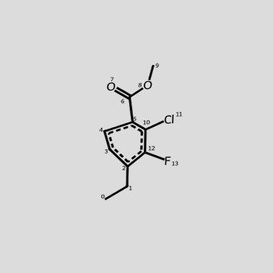 CCc1ccc(C(=O)OC)c(Cl)c1F